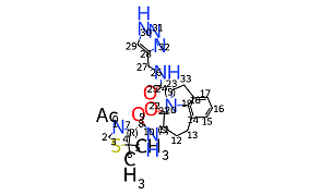 CC(=O)N1CSC(C)(C)[C@H]1C(=O)N[C@H]1CCc2cccc3c2N(C1=O)[C@H](C(=O)NCc1c[nH]nn1)C3